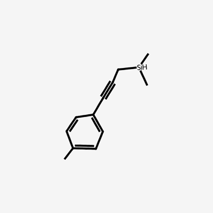 Cc1ccc(C#CC[SiH](C)C)cc1